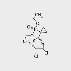 CCOP(=O)(OCC)C1(c2ccc(Cl)c(Cl)c2)CC1